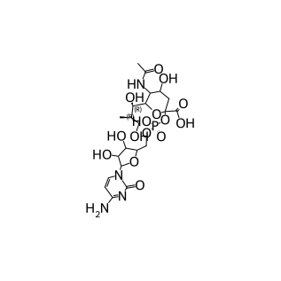 CC(=O)NC1C(O)CC(OP(=O)(O)OCC2OC(n3ccc(N)nc3=O)C(O)C2O)(C(=O)O)OC1[C@H](O)[C@H](C)CO